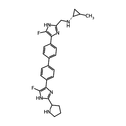 CC1C[C@H]1NCc1nc(-c2ccc(-c3ccc(-c4nc(C5CCCN5)[nH]c4F)cc3)cc2)c(F)[nH]1